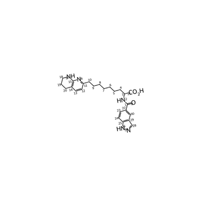 O=C(NC(CCCCCCCc1ccc2c(n1)NCCC2)C(=O)O)c1ccc2[nH]ncc2c1